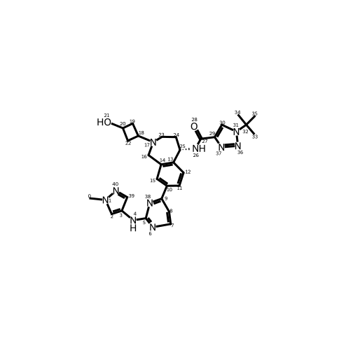 Cn1cc(Nc2nccc(-c3ccc4c(c3)CN(C3CC(O)C3)CC[C@@H]4NC(=O)c3cn(C(C)(C)C)nn3)n2)cn1